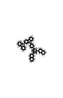 c1ccc2cc(-c3nc(-c4ccc(-n5c6ccccc6c6ccc(-n7c8ccccc8c8ccccc87)cc65)cc4)nc(-c4ccc5ccccc5c4)n3)ccc2c1